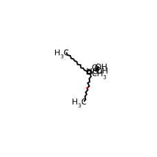 CCCCCCCCCCCCc1ccc(C)c(CCCCCCCCCCCC)c1.O=P(O)(O)O